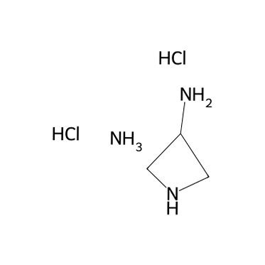 Cl.Cl.N.NC1CNC1